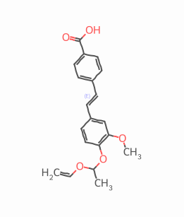 C=COC(C)Oc1ccc(/C=C/c2ccc(C(=O)O)cc2)cc1OC